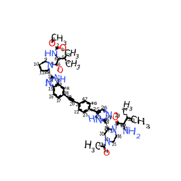 COC(=O)N[C@H](C(=O)N1CCC[C@H]1c1nc2ccc(C#Cc3ccc(-c4cnc([C@@H]5CN(C(C)=O)CCN5C(=O)[C@@H](N)C(C)C)[nH]4)cc3)cc2[nH]1)C(C)C